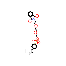 Cc1ccc(S(=O)(=O)OCCOCCOCCN2C(=O)c3ccccc3C2=O)cc1